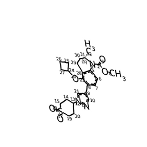 COC(=O)N1c2ccc(-c3cnn(C4CCS(=O)(=O)CC4)c3)c(OC3CCC3)c2CC[C@@H]1C